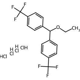 CCOC(c1ccc(C(F)(F)F)cc1)c1ccc(C(F)(F)F)cc1.Cl.Cl.Cl.Cl